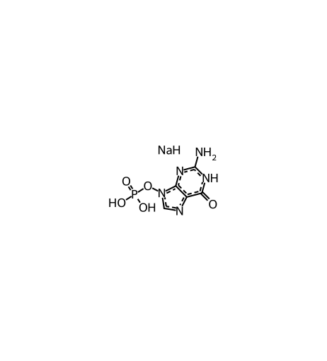 Nc1nc2c(ncn2OP(=O)(O)O)c(=O)[nH]1.[NaH]